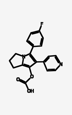 O=C(O)Oc1c(-c2ccncc2)c(-c2ccc(F)cc2)n2c1CCC2